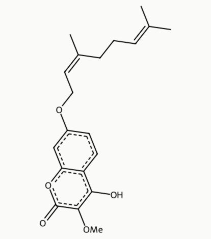 COc1c(O)c2ccc(OCC=C(C)CCC=C(C)C)cc2oc1=O